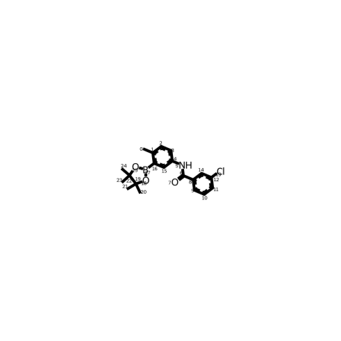 Cc1ccc(NC(=O)c2cccc(Cl)c2)cc1B1OC(C)(C)C(C)(C)O1